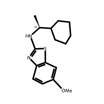 COc1ccc2nc(N[C@@H](C)C3CCCCC3)sc2c1